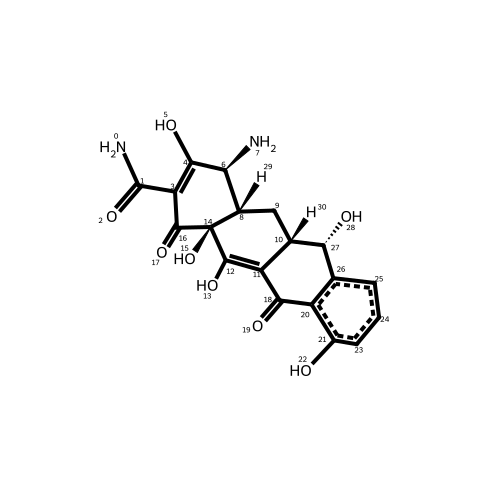 NC(=O)C1=C(O)[C@@H](N)[C@@H]2C[C@H]3C(=C(O)[C@]2(O)C1=O)C(=O)c1c(O)cccc1[C@H]3O